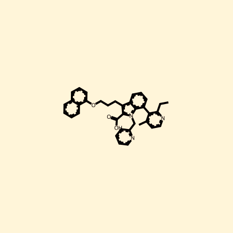 CCc1nccc(C)c1-c1cccc2c(CCCOc3cccc4ccccc34)c(C(=O)O)n(Cc3ccccn3)c12